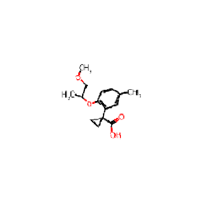 COC[C@H](C)Oc1ccc(C)cc1C1(C(=O)O)CC1